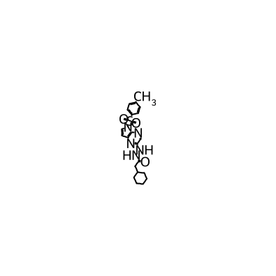 Cc1ccc(S(=O)(=O)n2ccc3nc(NNC(=O)CC4CCCCC4)cnc32)cc1